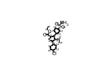 CCOC(=O)c1sc(-c2ccc(Cl)cc2)c(N(C)C)c1-c1ccc(S(N)(=O)=O)cc1